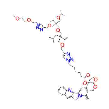 C=C1C2=C(C=C3c4nc5ccccc5cc4CN13)[C@](CC)(OC(=O)CCCCCn1cc(COCC(CC)(COCC(CC)(COCc3cn(CCOCCOC)nn3)COC(C)C)CC(C)C)nn1)C(=O)OC2